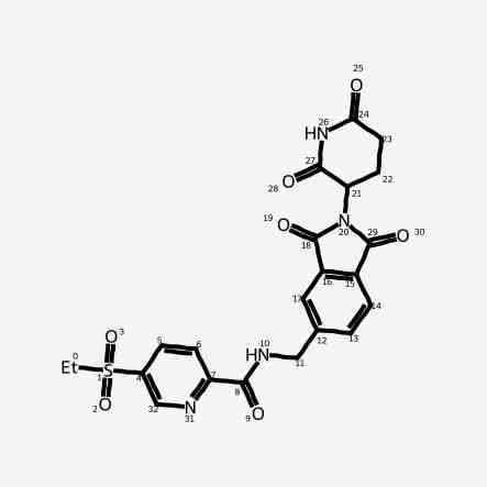 CCS(=O)(=O)c1ccc(C(=O)NCc2ccc3c(c2)C(=O)N(C2CCC(=O)NC2=O)C3=O)nc1